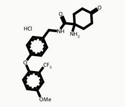 COc1ccc(Oc2ccc(CNC(=O)C3(N)CCC(=O)CC3)cc2)c(C(F)(F)F)c1.Cl